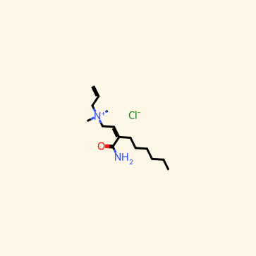 C=CC[N+](C)(C)CC=C(CCCCCC)C(N)=O.[Cl-]